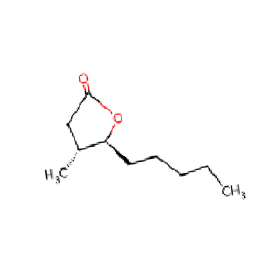 CCCCC[C@@H]1OC(=O)C[C@H]1C